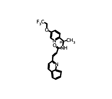 C[C@@H](NC(=O)C=Cc1ccc2ccccc2n1)c1ccc(OCC(F)(F)F)cn1